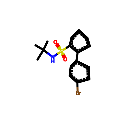 CC(C)(C)NS(=O)(=O)c1ccccc1-c1ccc(Br)cc1